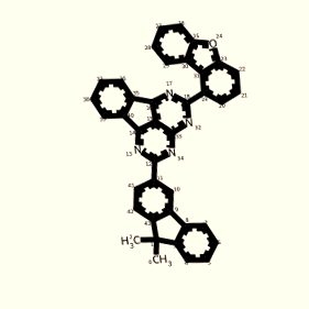 CC1(C)c2ccccc2-c2cc(-c3nc4c5c(nc(-c6cccc7oc8ccccc8c67)nc5n3)-c3ccccc3-4)ccc21